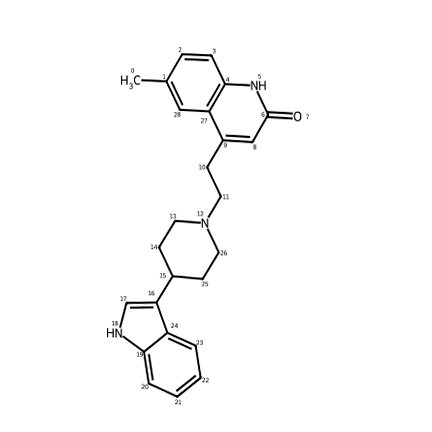 Cc1ccc2[nH]c(=O)cc(CCN3CCC(c4c[nH]c5ccccc45)CC3)c2c1